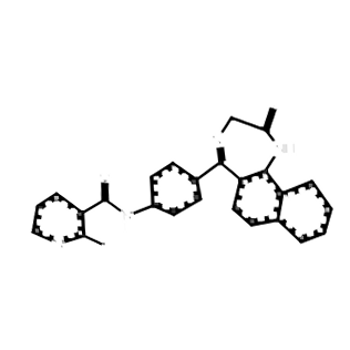 CCc1ncccc1C(=O)Nc1ccc(C2=NCC(=O)Nc3c2ccc2ccccc32)cc1.Cl